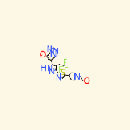 COCCN1CCC(c2cnc(-c3n[nH]c(-c4cc(OC)c5ncnn5c4)c3CC(F)(F)F)s2)CC1